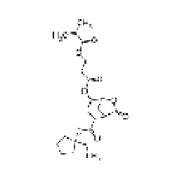 C=C(C)C(=O)OCCC(=O)OC1CC(C(=O)OC2(CC)CCCC2)C2CC1OC2=O